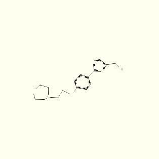 NCc1cnc(-c2ccc(OCCN3CCOCC3)cc2)s1